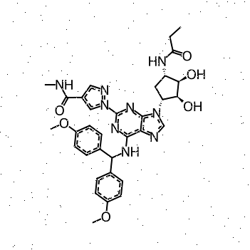 CCC(=O)N[C@H]1C[C@@H](n2cnc3c(NC(c4ccc(OC)cc4)c4ccc(OC)cc4)nc(-n4cc(C(=O)NC)cn4)nc32)[C@H](O)[C@@H]1O